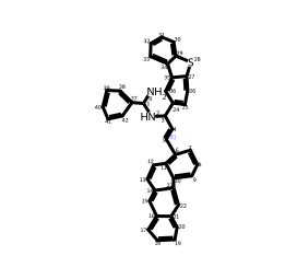 NC(NC(/C=C/c1cccc2c1ccc1cc3ccccc3cc12)c1ccc2sc3ccccc3c2c1)c1ccccc1